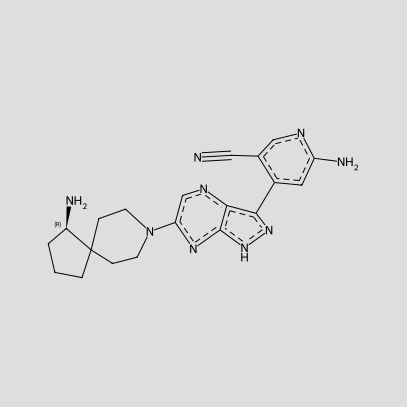 N#Cc1cnc(N)cc1-c1n[nH]c2nc(N3CCC4(CCC[C@H]4N)CC3)cnc12